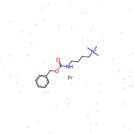 C[N+](C)(C)CCCCNC(=O)OCc1ccccc1.[Br-]